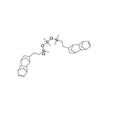 C[SiH](CCC1CC2CC1C1C3C=CC(C3)C21)O[Si](C)(C)O[Si](C)(C)CCC1CC2CC1C1C3C=CC(C3)C21